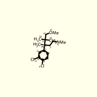 CNCC[C@](C)(c1ccc(Cl)c(Cl)c1)C(C)(C)COC